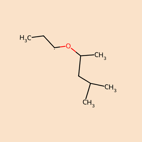 CC[CH]OC(C)CC(C)C